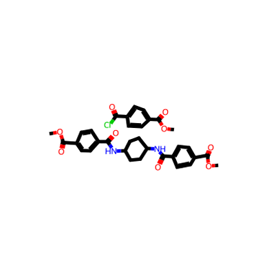 COC(=O)c1ccc(C(=O)Cl)cc1.COC(=O)c1ccc(C(=O)NC2CCC(NC(=O)c3ccc(C(=O)OC)cc3)CC2)cc1